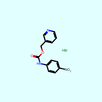 Br.O=C(Nc1ccc([N+](=O)[O-])cc1)OCc1cccnc1